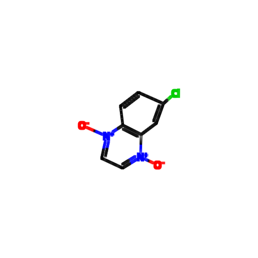 [O-][n+]1cc[n+]([O-])c2cc(Cl)ccc21